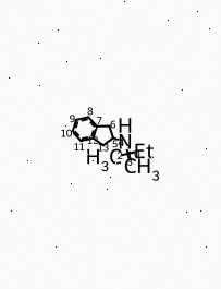 CCC(C)(C)NC1Cc2ccccc2C1